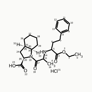 CCOC(=O)C(CCc1ccccc1)NC(C)C(=O)N1[C@@H](C(=O)O)C[C@H]2CCCC[C@H]21.Cl